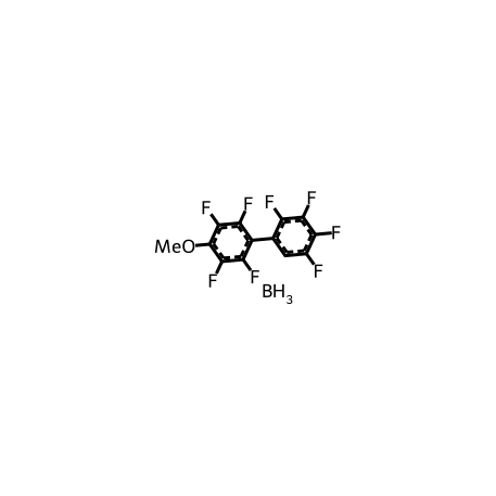 B.COc1c(F)c(F)c(-c2cc(F)c(F)c(F)c2F)c(F)c1F